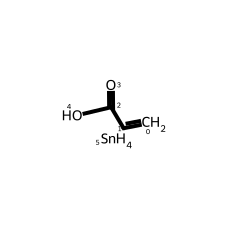 C=CC(=O)O.[SnH4]